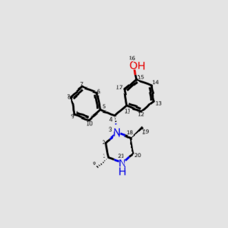 C[C@@H]1CN([C@H](c2ccccc2)c2cccc(O)c2)[C@@H](C)CN1